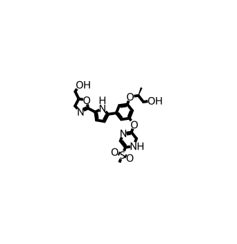 C[C@@H](CO)Oc1cc(OC2=NC=C(S(C)(=O)=O)NC2)cc(-c2ccc(C3=NCC(CO)O3)[nH]2)c1